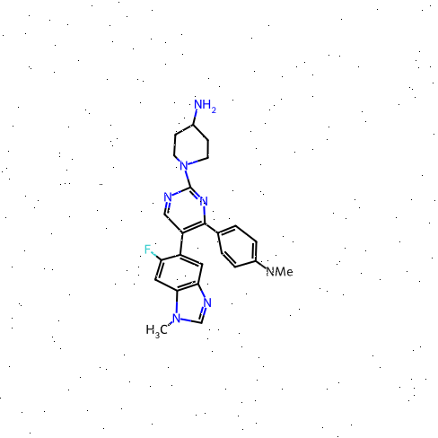 CNc1ccc(-c2nc(N3CCC(N)CC3)ncc2-c2cc3ncn(C)c3cc2F)cc1